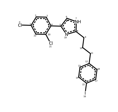 Clc1ccc(-c2c[nH]c(CCCc3ccc(I)cc3)n2)c(Cl)c1